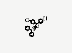 Clc1ccc(C(OC2CN(C(c3ccccc3)c3ccccc3)C2)c2ccc(Cl)cc2)cc1